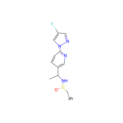 CC(C)C[S@+]([O-])NC(C)c1ccc(-n2cc(F)cn2)nc1